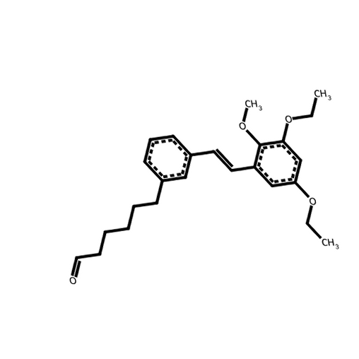 CCOc1cc(C=Cc2cccc(CCCCCC=O)c2)c(OC)c(OCC)c1